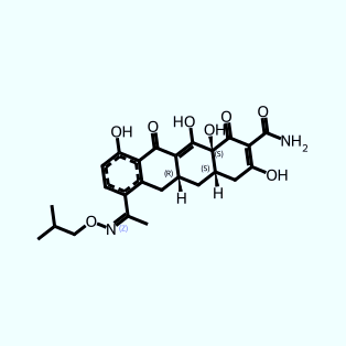 C/C(=N/OCC(C)C)c1ccc(O)c2c1C[C@H]1C[C@H]3CC(O)=C(C(N)=O)C(=O)[C@@]3(O)C(O)=C1C2=O